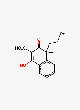 CC(C)CCC1(C)C(=O)C(C(=O)O)=C(O)c2ccccc21